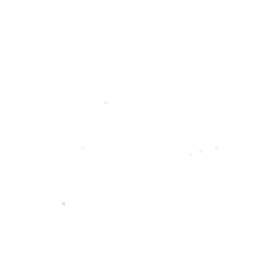 COCCC[Si](C)(Cl)CCCOC